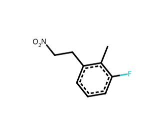 Cc1c(F)cccc1CC[N+](=O)[O-]